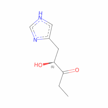 CCC(=O)[C@@H](O)Cc1c[nH]cn1